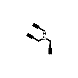 C#CC[SiH](CC#C)CC#C